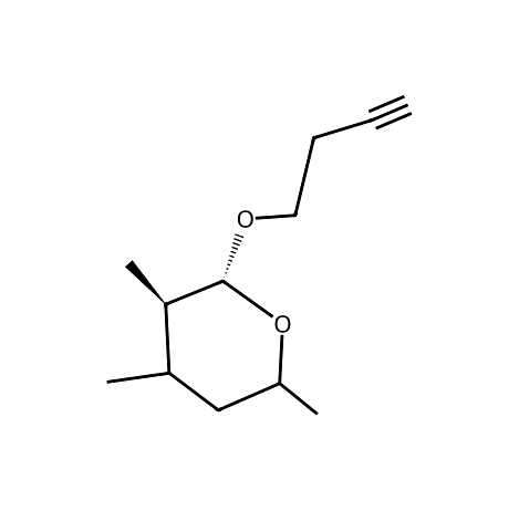 C#CCCO[C@@H]1OC(C)CC(C)[C@H]1C